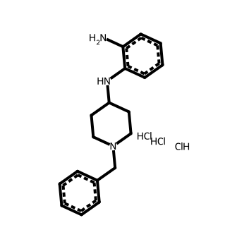 Cl.Cl.Cl.Nc1ccccc1NC1CCN(Cc2ccccc2)CC1